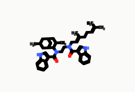 CC(C)=CCC/C(C)=C/CN(CCN(C(=O)c1c[nH]c2ccccc12)C1C(C)CC2CC(C)CC1C2)C(=O)c1c[nH]c2ccccc12